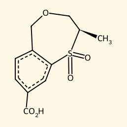 C[C@@H]1COCc2ccc(C(=O)O)cc2S1(=O)=O